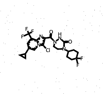 O=C(c1nc2c(C(F)(F)F)cc(C3CC3)cn2c1Cl)N1CCN(C2CCC(F)(F)CC2)C(=O)N1